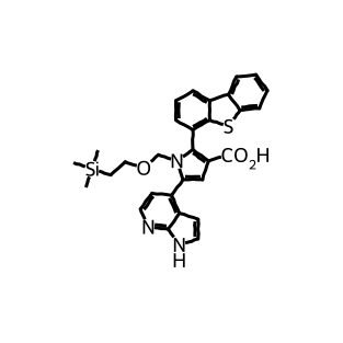 C[Si](C)(C)CCOCn1c(-c2ccnc3[nH]ccc23)cc(C(=O)O)c1-c1cccc2c1sc1ccccc12